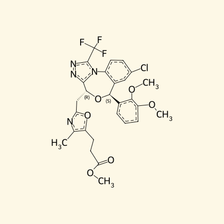 COC(=O)CCc1oc(C[C@H]2O[C@H](c3cccc(OC)c3OC)c3cc(Cl)ccc3-n3c2nnc3C(F)(F)F)nc1C